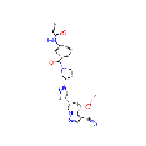 C=CC(=O)Nc1cccc(C(=O)N2CC[C@H](n3cc(-c4cc(OC)c5c(C#N)cnn5c4)cn3)C2)c1